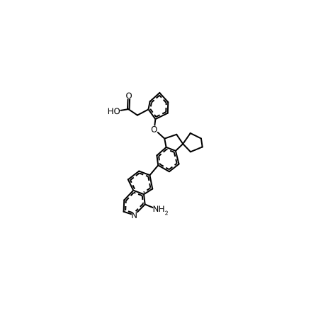 Nc1nccc2ccc(-c3ccc4c(c3)C(Oc3ccccc3CC(=O)O)CC43CCCC3)cc12